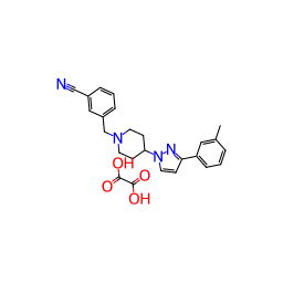 Cc1cccc(-c2ccn(C3CCN(Cc4cccc(C#N)c4)CC3)n2)c1.O=C(O)C(=O)O